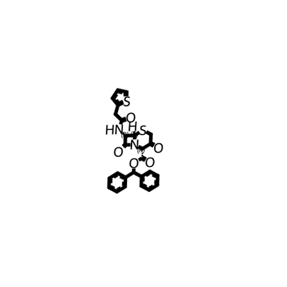 O=C(Cc1cccs1)N[C@@H]1C(=O)N2[C@@H](C(=O)OC(c3ccccc3)c3ccccc3)C(=O)CS[C@@H]12